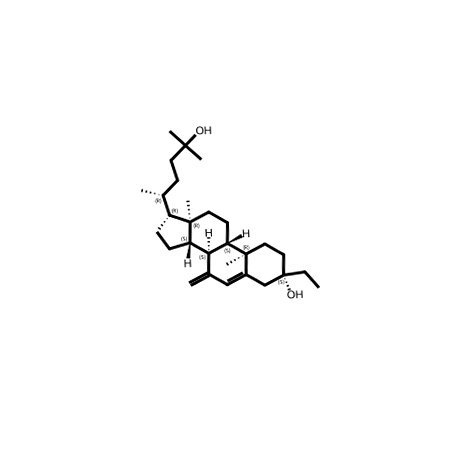 C=C1C=C2C[C@](O)(CC)CC[C@]2(C)[C@H]2CC[C@]3(C)[C@@H]([C@H](C)CCC(C)(C)O)CC[C@H]3[C@H]12